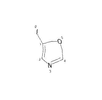 Ic1cnco1